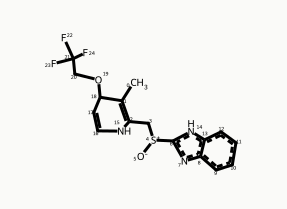 CC1=C(C[S+]([O-])c2nc3ccccc3[nH]2)NC=CC1OCC(F)(F)F